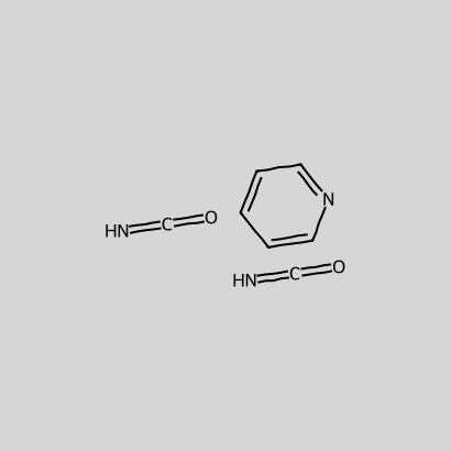 N=C=O.N=C=O.c1ccncc1